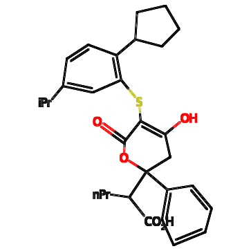 CCCC(C(=O)O)C1(c2ccccc2)CC(O)=C(Sc2cc(C(C)C)ccc2C2CCCC2)C(=O)O1